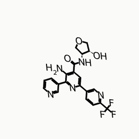 Nc1c(C(=O)N[C@@H]2COC[C@@H]2O)cc(-c2ccc(C(F)(F)F)nc2)nc1-c1cccnc1